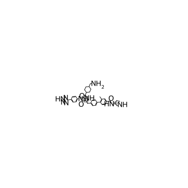 Cc1cc(C(=O)N[C@H]2CCNC2)ccc1-c1ccc(C[C@H](NC(=O)C2CCC(CN)CC2)C(=O)Nc2ccc(-c3nn[nH]n3)cc2)cc1